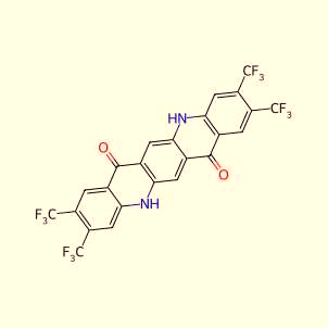 O=c1c2cc(C(F)(F)F)c(C(F)(F)F)cc2[nH]c2cc3c(=O)c4cc(C(F)(F)F)c(C(F)(F)F)cc4[nH]c3cc12